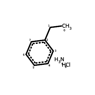 CCc1ccccc1.Cl.N